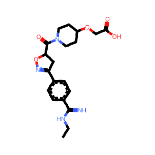 CCNC(=N)c1ccc(C2=NOC(C(=O)N3CCC(OCC(=O)O)CC3)C2)cc1